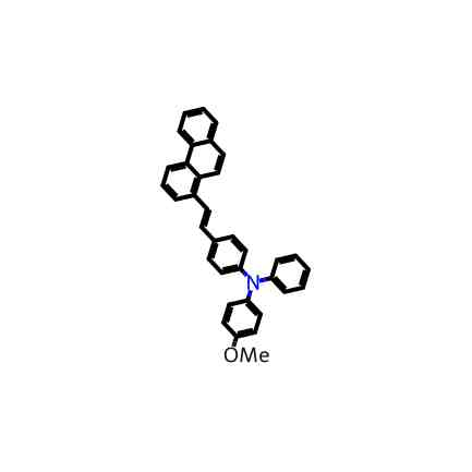 COc1ccc(N(c2ccccc2)c2ccc(C=Cc3cccc4c3ccc3ccccc34)cc2)cc1